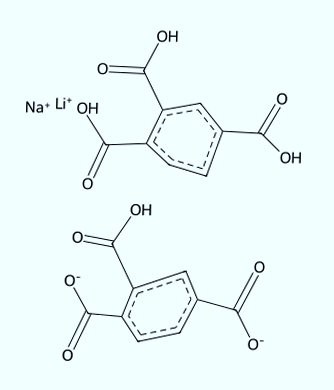 O=C(O)c1ccc(C(=O)O)c(C(=O)O)c1.O=C([O-])c1ccc(C(=O)[O-])c(C(=O)O)c1.[Li+].[Na+]